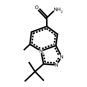 Cc1cc(C(N)=O)cc2nnc(C(C)(C)C)n12